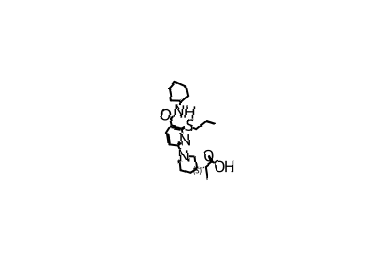 CCCSc1nc(N2CCC[C@@H](C(C)C(=O)O)C2)ccc1C(=O)NC1CCCCC1